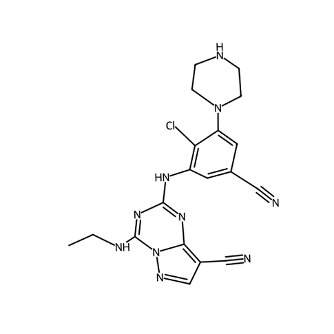 CCNc1nc(Nc2cc(C#N)cc(N3CCNCC3)c2Cl)nc2c(C#N)cnn12